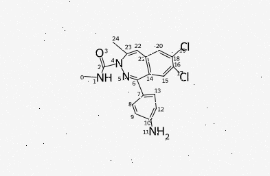 CNC(=O)N1N=C(c2ccc(N)cc2)c2cc(Cl)c(Cl)cc2C=C1C